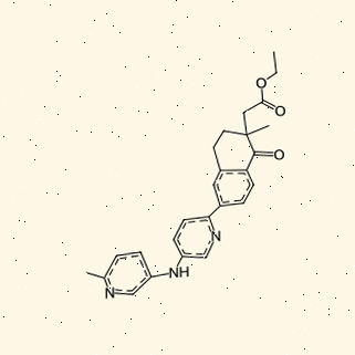 CCOC(=O)CC1(C)CCc2cc(-c3ccc(Nc4ccc(C)nc4)cn3)ccc2C1=O